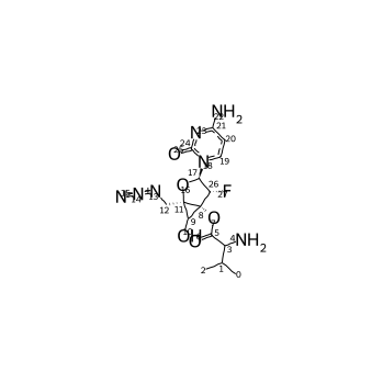 CC(C)C(N)C(=O)O[C@]12C(O)[C@@]1(CN=[N+]=[N-])O[C@@H](n1ccc(N)nc1=O)[C@@H]2F